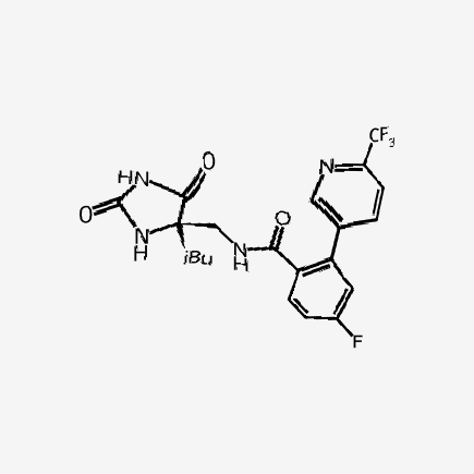 CC[C@H](C)[C@]1(CNC(=O)c2ccc(F)cc2-c2ccc(C(F)(F)F)nc2)NC(=O)NC1=O